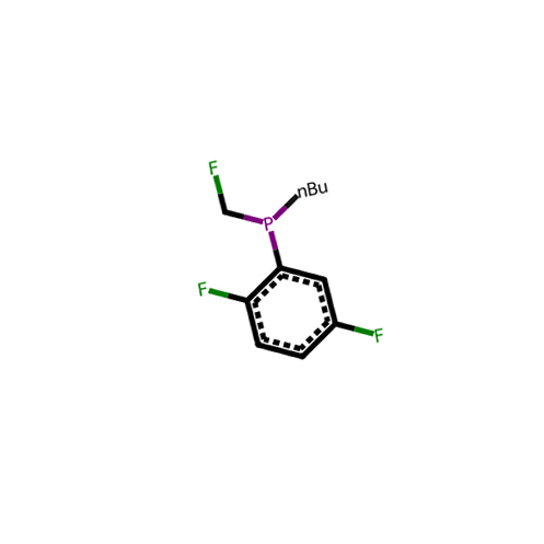 CCCCP(CF)c1cc(F)ccc1F